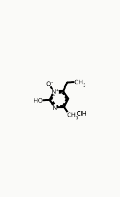 CCc1cc(C)nc(O)[n+]1[O-].Cl